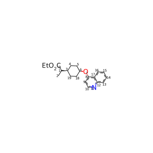 CCOC(=O)C(C)[C@H]1CC[C@@H](Oc2ccnc3ccccc23)CC1